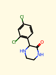 O=C1NCCNC1c1ccc(Cl)cc1Cl